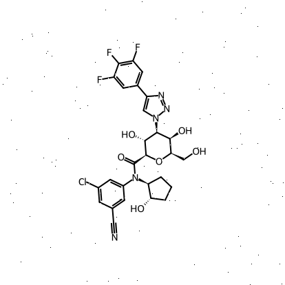 N#Cc1cc(Cl)cc(N(C(=O)[C@@H]2O[C@H](CO)[C@H](O)[C@H](n3cc(-c4cc(F)c(F)c(F)c4)nn3)[C@H]2O)[C@H]2CCC[C@@H]2O)c1